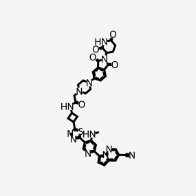 CNc1cc(-c2ccc3cc(C#N)cnn23)ncc1-c1nnc(C2CC(NC(=O)CN3CCN(c4ccc5c(c4)C(=O)N(C4CCC(=O)NC4=O)C5=O)CC3)C2)s1